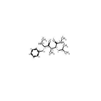 CNC(=O)[C@H](CC(C)C)N(C)C(=O)[C@H](Cc1ccccc1)NC